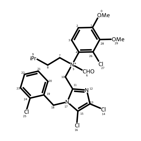 COc1ccc([N+](C=O)(CCC(C)C)Cc2nc(Cl)c(Cl)n2Cc2ccccc2Cl)c(Cl)c1OC